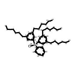 CCCCCCc1cc(CCCCCC)cc([Si](Cl)(c2ccccc2)c2cc(CCCCCC)cc(CCCCCC)c2)c1